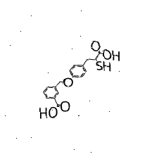 O=C(O)c1cccc(COc2ccc(CC(S)C(=O)O)cc2)c1